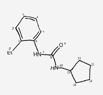 CCc1ccccc1NC(=O)NC1CCCC1